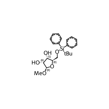 CO[C@@H]1O[C@H](CO[Si](c2ccccc2)(c2ccccc2)C(C)(C)C)[C@@H](O)[C@H]1O